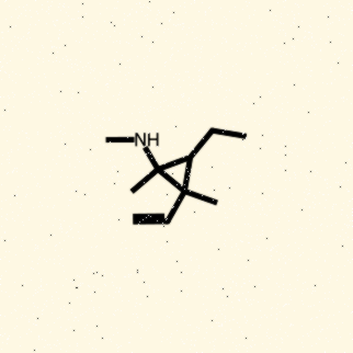 C=CC1(C)C(CC)C1(C)NC